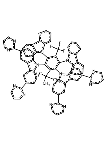 CC(C)(C)c1c(-n2c3ccc(-c4ncccn4)cc3c3cc(-c4ncccn4)ccc32)c(-n2c3ccccc3c3ccccc32)c(C(F)(F)F)c(-n2c3ccccc3c3ccccc32)c1-n1c2ccc(-c3ncccn3)cc2c2cc(-c3ncccn3)ccc21